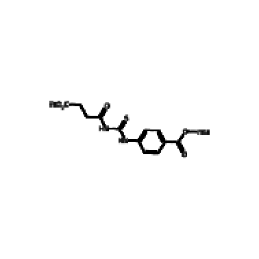 CCCCOC(=O)c1ccc(NC(=S)NC(=O)CCC(=O)OCC)cc1